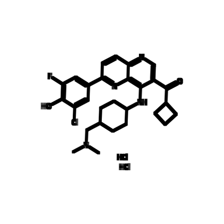 CN(C)CC1CCC(Nc2c(C(=O)C3CCC3)cnc3ccc(-c4cc(F)c(O)c(Cl)c4)nc23)CC1.Cl.Cl